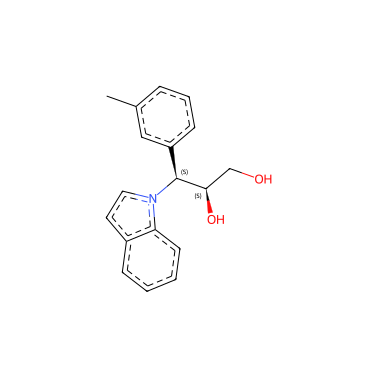 Cc1cccc([C@@H]([C@H](O)CO)n2ccc3ccccc32)c1